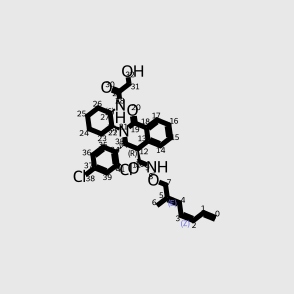 C=C/C=C\C=C(/C)CONC(=O)[C@@H]1c2ccccc2C(=O)N([C@H]2CCCC[C@@H]2NC(=O)CO)[C@H]1c1ccc(Cl)cc1Cl